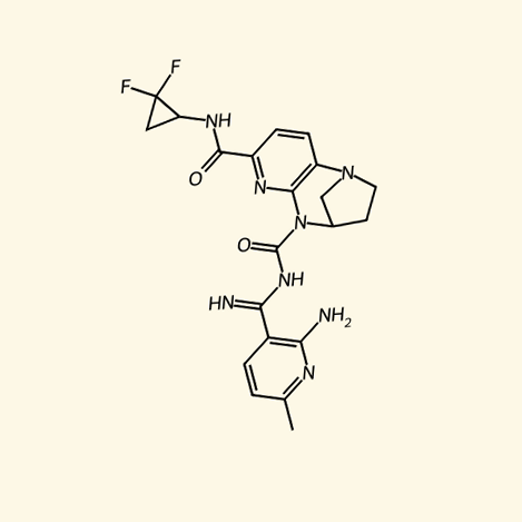 Cc1ccc(C(=N)NC(=O)N2c3nc(C(=O)NC4CC4(F)F)ccc3N3CCC2C3)c(N)n1